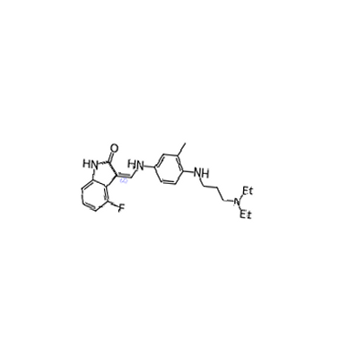 CCN(CC)CCCNc1ccc(N/C=C2\C(=O)Nc3cccc(F)c32)cc1C